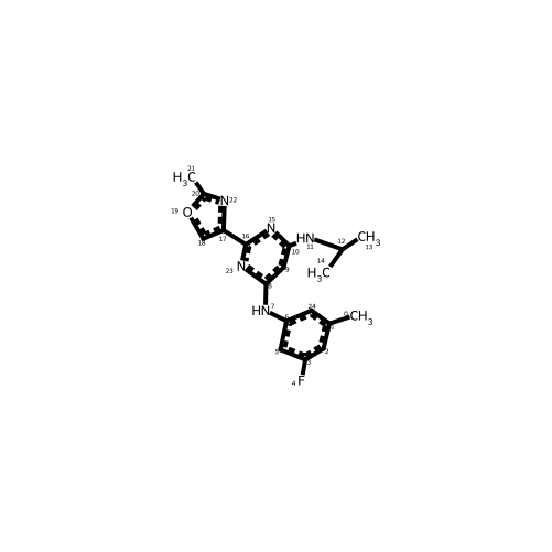 Cc1cc(F)cc(Nc2cc(NC(C)C)nc(-c3coc(C)n3)n2)c1